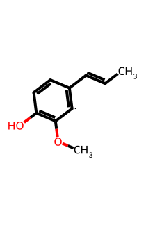 CC=Cc1[c]c(OC)c(O)cc1